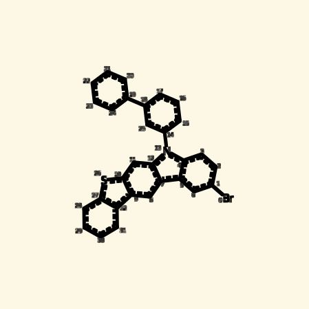 Brc1ccc2c(c1)c1cc3c(cc1n2-c1cccc(-c2ccccc2)c1)sc1ccccc13